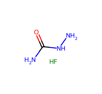 F.NNC(N)=O